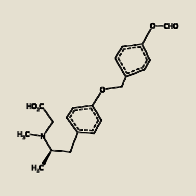 C[C@H](Cc1ccc(OCc2ccc(OC=O)cc2)cc1)N(C)CC(=O)O